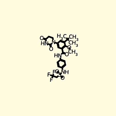 COc1c(C(=O)Nc2ccc(NS(=O)(=O)CC(F)(F)F)cc2)cc(N2CCC(=O)NC2=O)cc1C(C)(C)C